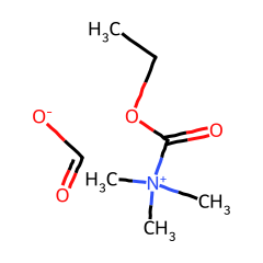 CCOC(=O)[N+](C)(C)C.O=C[O-]